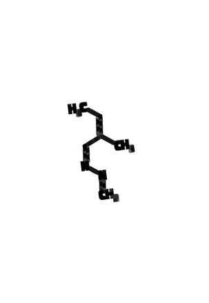 C=N/N=C\C(C)=C/C